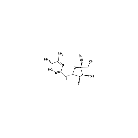 N#C[C@]1(CO)O[C@@H](NC(=N/O)/N=C(/N)C=N)[C@H](F)[C@@H]1O